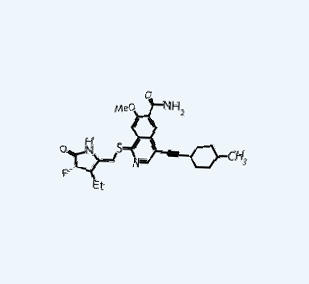 CCC1C(CSc2ncc(C#CC3CCC(C)CC3)c3cc(C(N)=O)c(OC)cc23)NC(=O)[C@H]1F